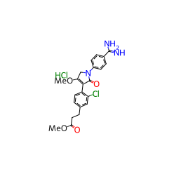 COC(=O)CCc1ccc(C2=C(OC)CN(c3ccc(C(=N)N)cc3)C2=O)c(Cl)c1.Cl